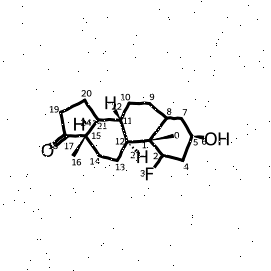 C[C@]12C(F)C[C@H](O)CC1CC[C@@H]1[C@@H]2CC[C@]2(C)C(=O)CC[C@@H]12